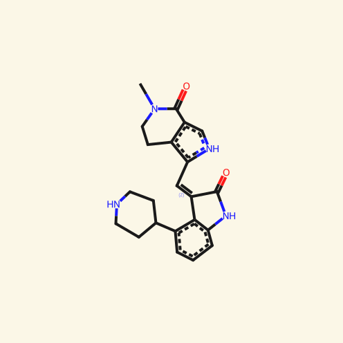 CN1CCc2c(c[nH]c2/C=C2\C(=O)Nc3cccc(C4CCNCC4)c32)C1=O